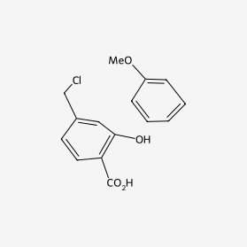 COc1ccccc1.O=C(O)c1ccc(CCl)cc1O